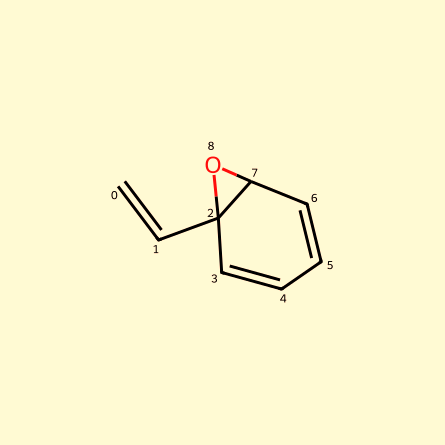 C=CC12C=CC=CC1O2